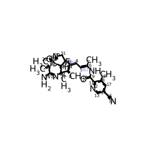 C=C(/C(F)=C\C=C(/C)NC(=O)c1ncc(C#N)cc1C)[C@@]1(C)N=C(N)C(C)(C)[S@@]2(=O)=NCC[C@@H]12